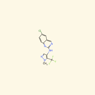 Cn1ncc(Nc2ncc3cc(Cl)ccc3n2)c1C(F)(F)F